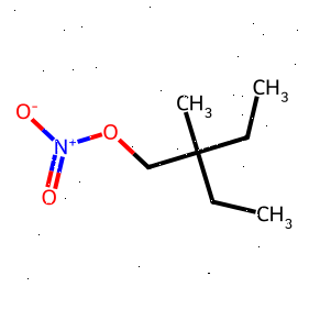 CCC(C)(CC)CO[N+](=O)[O-]